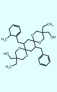 CCC1(CO)COC2(CC(Cc3ccccc3)C3(CC2CC2=CC=CCC2C)OCC(CC)(CO)CO3)OC1